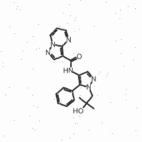 CC(C)(O)Cn1ncc(NC(=O)c2cnn3cccnc23)c1-c1ccccc1